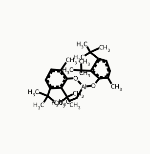 C[CH2][Al]([O]c1c(C)ccc(C(C)(C)C)c1C(C)(C)C)[O]c1c(C)ccc(C(C)(C)C)c1C(C)(C)C